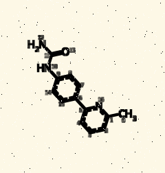 Cc1cccc(-c2ccc(NC(N)=O)cc2)n1